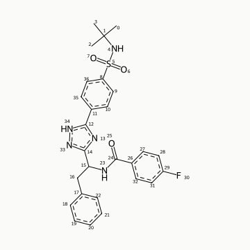 CC(C)(C)NS(=O)(=O)c1ccc(-c2nc(C(Cc3ccccc3)NC(=O)c3ccc(F)cc3)n[nH]2)cc1